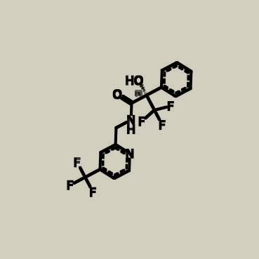 O=C(NCc1cc(C(F)(F)F)ccn1)[C@@](O)(c1ccccc1)C(F)(F)F